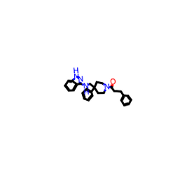 O=C(CCc1ccccc1)N1CCC(CNc2n[nH]c3ccccc23)(c2ccccc2)CC1